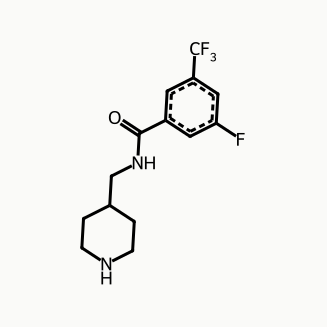 O=C(NCC1CCNCC1)c1cc(F)cc(C(F)(F)F)c1